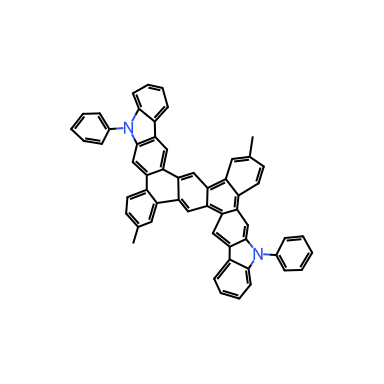 Cc1ccc2c(c1)c1cc3c(cc1c1cc4c5ccccc5n(-c5ccccc5)c4cc21)c1cc(C)ccc1c1cc2c(cc31)c1ccccc1n2-c1ccccc1